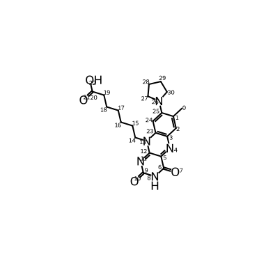 Cc1cc2nc3c(=O)[nH]c(=O)nc-3n(CCCCCCC(=O)O)c2cc1N1CCCC1